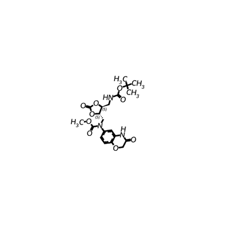 COC(=O)N(C[C@@H]1OC(=O)O[C@H]1CNC(=O)OC(C)(C)C)c1ccc2c(c1)NC(=O)CO2